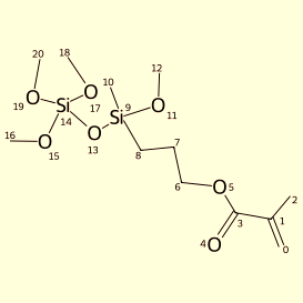 C=C(C)C(=O)OCCC[Si](C)(OC)O[Si](OC)(OC)OC